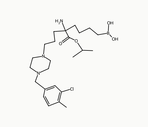 Cc1ccc(CN2CCN(CCCC(N)(CCCCB(O)O)C(=O)OC(C)C)CC2)cc1Cl